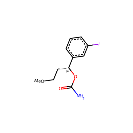 COCC[C@@H](OC(N)=O)c1cccc(I)c1